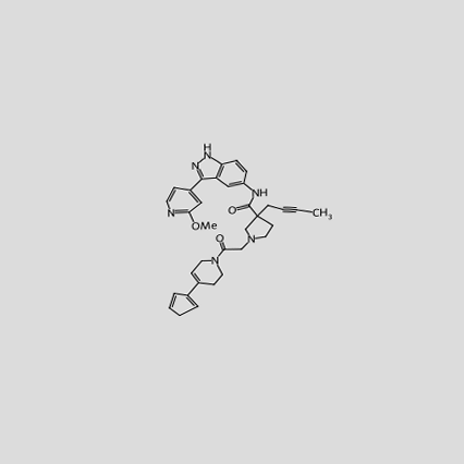 CC#CCC1(C(=O)Nc2ccc3[nH]nc(-c4ccnc(OC)c4)c3c2)CCN(CC(=O)N2CC=C(C3=CCC=C3)CC2)C1